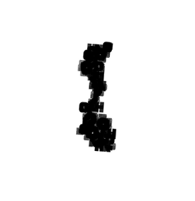 CNC(=O)c1cnc2cc(OC)c(-c3ccc(C(=O)NCCCCn4cc(CNc5cccc6c5C(=O)N(C5CCC(=O)NC5=O)C6=O)nn4)cn3)cc2c1Nc1ccccc1